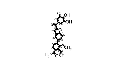 CCc1c(C(N)=O)ccc(-c2ccc3oc(C(=O)c4cc(O)c(O)c(O)c4)cc3c2)c1CC